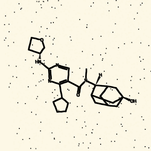 CN(C(=O)c1cnc(N[C@@H]2CCOC2)nc1C1CCCC1)[C@H]1C2CC3CC1C[C@@](O)(C3)C2